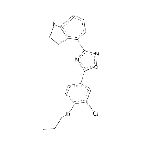 CCCOc1ccc(-c2nc(-c3cccc4c3CCN4)no2)cc1Cl